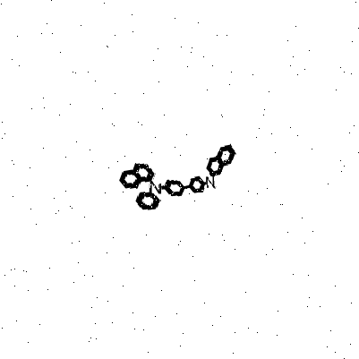 CN(c1ccc(-c2ccc(N(c3ccccc3)c3cccc4ccccc34)cc2)cc1)c1ccc2ccccc2c1